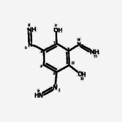 N=Nc1cc(N=N)c(O)c(N=N)c1O